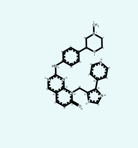 CN1CCSC(c2ccc(Nc3ncc4ccc(=O)n(Cc5scnc5-c5ccncc5)c4n3)cc2)C1